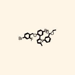 CCOC(=O)c1cccc(-n2c(C)ccc2-c2cc(Br)ccc2OCc2ccc(Br)cc2F)c1